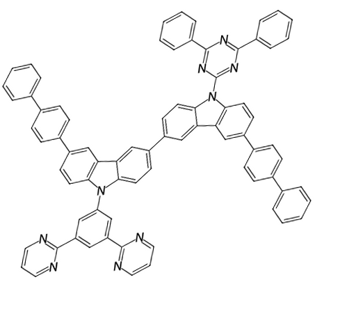 c1ccc(-c2ccc(-c3ccc4c(c3)c3cc(-c5ccc6c(c5)c5cc(-c7ccc(-c8ccccc8)cc7)ccc5n6-c5nc(-c6ccccc6)nc(-c6ccccc6)n5)ccc3n4-c3cc(-c4ncccn4)cc(-c4ncccn4)c3)cc2)cc1